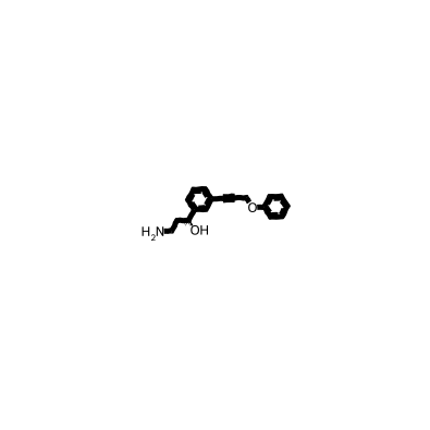 NCC[C@@H](O)c1cccc(C#CCOc2ccccc2)c1